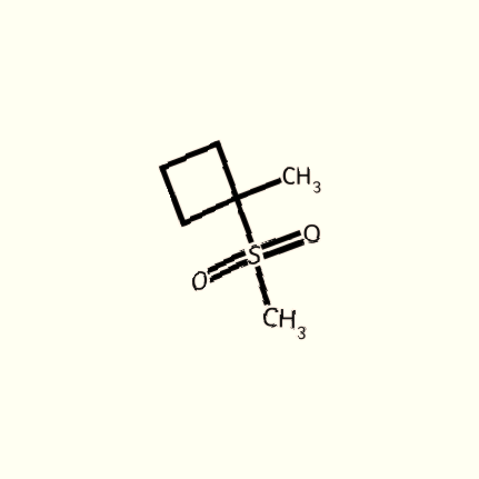 CC1(S(C)(=O)=O)CCC1